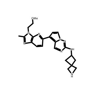 COCCn1c(C)nc2ccc(-c3ccn4nc(NC5CC6(CNC6)C5)ncc34)nc21